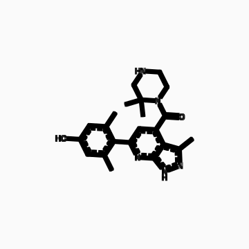 Cc1cc(O)cc(C)c1-c1cc(C(=O)N2CCNCC2(C)C)c2c(C)n[nH]c2n1